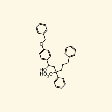 O=C(O)C(CCCc1ccccc1)(CC(O)c1ccc(OCc2ccccc2)cc1)c1ccccc1